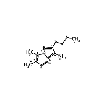 CCCCc1nn2c(C)c(C)ccc2c1N